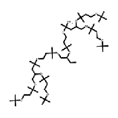 CCC(COC(C)(C)CCOC(C)(C)CC(COC(C)(C)CCOC(C)(C)C)OC(C)(C)CCOC(C)(C)C)OC(C)(C)CCOC(C)(N)CC(COC(C)(C)CCOC(C)(C)C)OC(C)(C)CCOC(C)(C)C